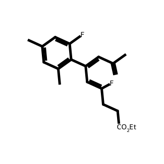 C=C(C)/C=C(\C=C(/F)CCC(=O)OCC)c1c(C)cc(C)cc1F